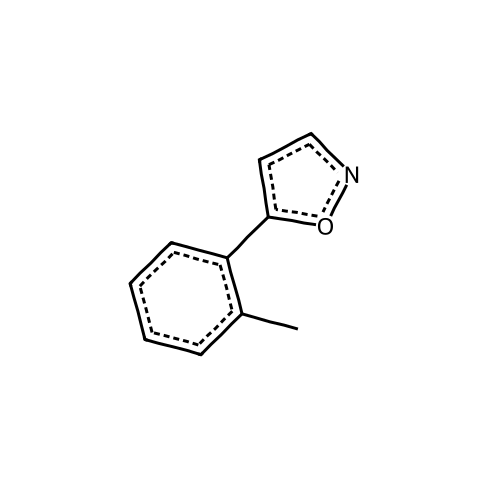 Cc1ccccc1-c1ccno1